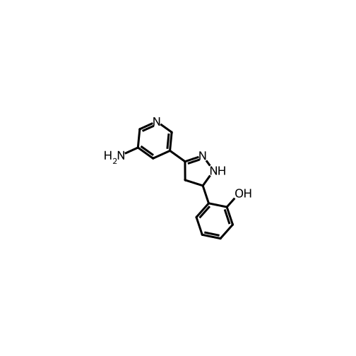 Nc1cncc(C2=NNC(c3ccccc3O)C2)c1